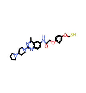 Cc1nc(N2CCC(N3CCCC3)CC2)nc2ccc(NC(=O)COc3ccc(OCS)cc3)cc12